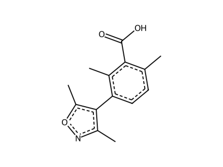 Cc1ccc(-c2c(C)noc2C)c(C)c1C(=O)O